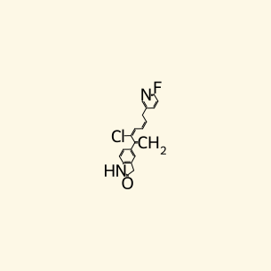 C=C(/C(Cl)=C\C=C/Cc1ccc(F)nc1)c1ccc2c(c1)CC(=O)N2